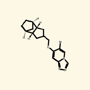 Brc1cn2cnnc2cc1OCC1C[C@@H]2[C@H]3CC[C@H](C3)[C@@H]2C1